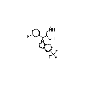 CNC[C@@H](O)[C@H](c1cccc(F)c1)n1ccc2cc(C(F)(F)F)ccc21